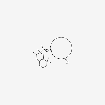 CC(=O)C1(C)CC2=C(CCCC2(C)C)CC1C.O=C1CCCC=CCCCCCCCCCC1